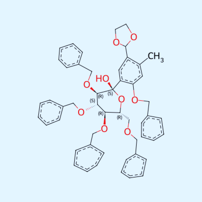 Cc1cc(OCc2ccccc2)c([C@]2(O)O[C@H](COCc3ccccc3)[C@@H](OCc3ccccc3)[C@H](OCc3ccccc3)[C@H]2OCc2ccccc2)cc1C1OCCO1